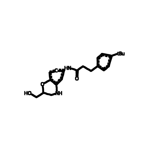 CC(C)(C)c1ccc(CCC(=O)Nc2ccc3c(c2)NCC(CO)O3)cc1